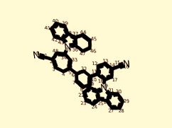 N#CC1=CCC(C2C=CC=C(c3ccc(C#N)cc3-n3c4ccccc4c4ccccc43)C2)=CC(n2c3c(c4ccccc42)C=CCC3)=C1